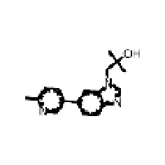 Cc1ccc(-c2ccc3ncn(CC(C)(C)O)c3c2)cn1